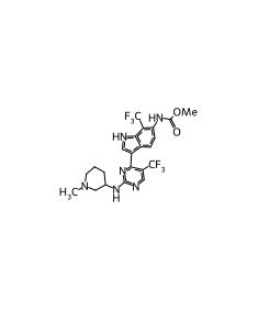 COC(=O)Nc1ccc2c(-c3nc(NC4CCCN(C)C4)ncc3C(F)(F)F)c[nH]c2c1C(F)(F)F